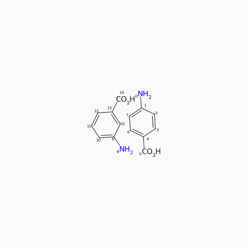 Nc1ccc(C(=O)O)cc1.Nc1cccc(C(=O)O)c1